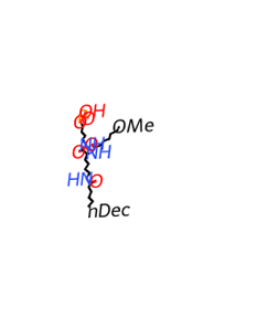 CCCCCCCCCCCCCCCC(=O)NCCCCC(NC(=O)CCCCCOC)C(=O)NCCCCOP(C)(=O)O